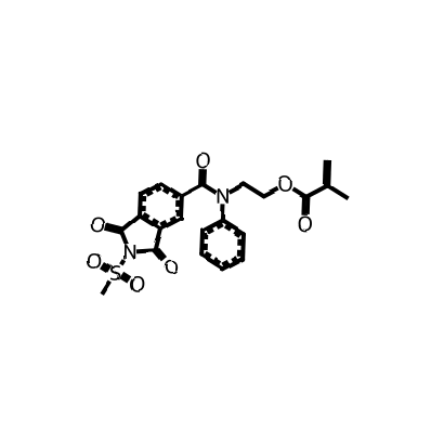 C=C(C)C(=O)OCCN(C(=O)c1ccc2c(c1)C(=O)N(S(C)(=O)=O)C2=O)c1ccccc1